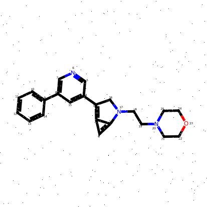 C1=C2C1=C(c1cncc(-c3ccccc3)c1)CN2CCN1CCOCC1